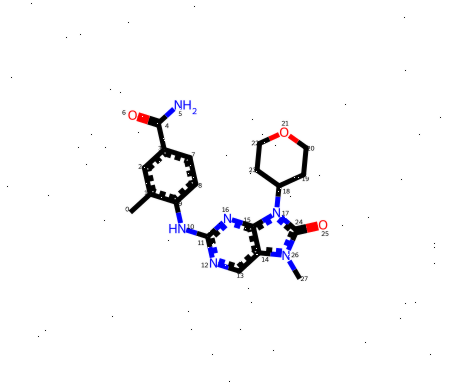 Cc1cc(C(N)=O)ccc1Nc1ncc2c(n1)n(C1CCOCC1)c(=O)n2C